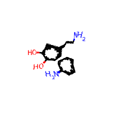 NCCc1ccc(O)c(O)c1.Nc1ccccc1